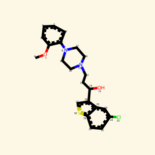 COc1ccccc1N1CCN(CCC(O)c2csc3ccc(Cl)cc23)CC1